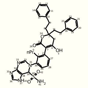 CCCc1c(C2=C(O)CC(CCc3ccccc3)(CCc3ccccc3)OC2=O)cccc1N1C=Nc2nc[nH]c2C1S(N)(=O)=O